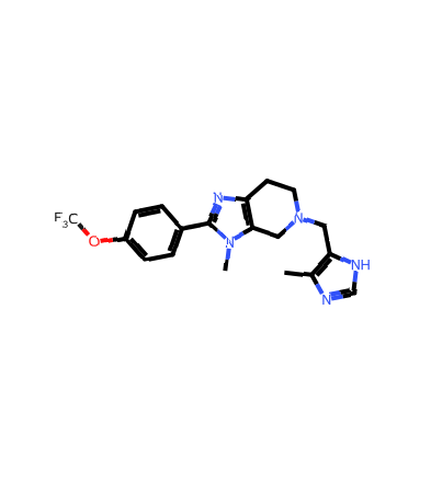 Cc1nc[nH]c1CN1CCc2nc(-c3ccc(OC(F)(F)F)cc3)n(C)c2C1